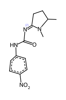 CC1CC/C(=N/C(=O)Nc2ccc([N+](=O)[O-])cc2)N1C